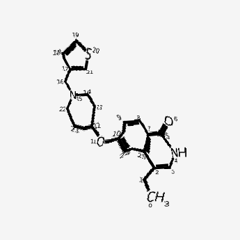 CCc1c[nH]c(=O)c2ccc(OC3CCN(Cc4ccsc4)CC3)cc12